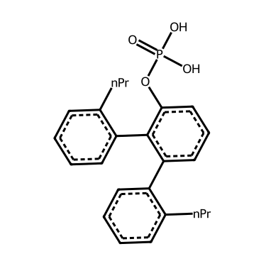 CCCc1ccccc1-c1cccc(OP(=O)(O)O)c1-c1ccccc1CCC